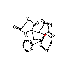 O=C1NC(=O)C(Cc2ccccc2)(N2C(=O)NC(=O)C2Cc2ccccc2)N1